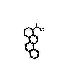 CCC(CC)C1CCCc2c1ccc1c2ccc2ccccc21